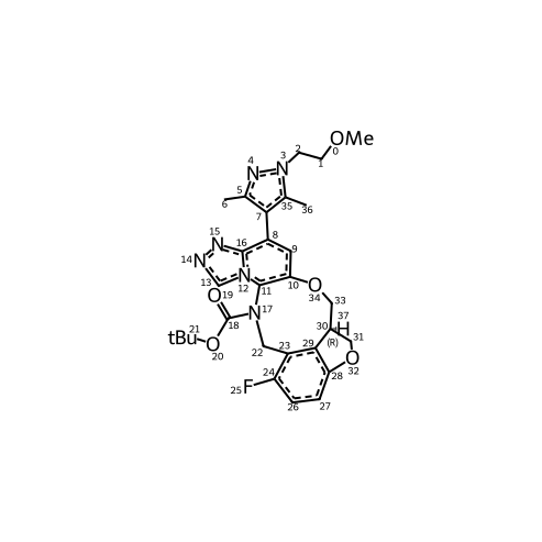 COCCn1nc(C)c(-c2cc3c(n4cnnc24)N(C(=O)OC(C)(C)C)Cc2c(F)ccc4c2[C@H](CO4)CO3)c1C